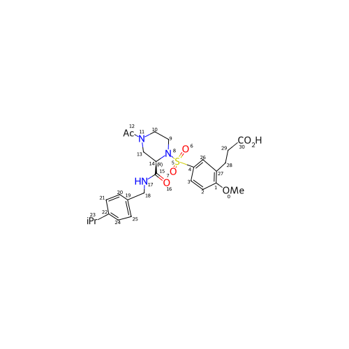 COc1ccc(S(=O)(=O)N2CCN(C(C)=O)C[C@@H]2C(=O)NCc2ccc(C(C)C)cc2)cc1CCC(=O)O